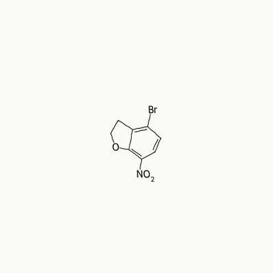 O=[N+]([O-])c1ccc(Br)c2c1OCC2